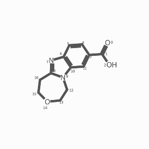 O=C(O)c1ccc2nc3n(c2c1)CCOCC3